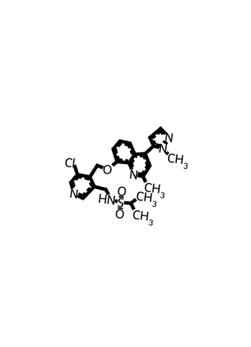 Cc1cc(-c2ccnn2C)c2cccc(OCc3c(Cl)cncc3CNS(=O)(=O)C(C)C)c2n1